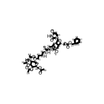 COP(O)(=S)CC1[C@@H](COC(=O)OCc2ccccc2)O[C@@H](n2ccc(=O)[nH]c2=O)[C@H]1CCCNC(=S)NCCCCO[C@@H]1O[C@H](COC(C)=O)[C@H](OC(C)=O)[C@H](OC(C)=O)[C@H]1NC(C)=O